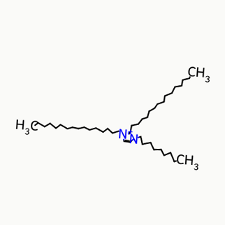 CCCCCCCCCCCCCCCC[n+]1ccn(CCCCCCCCC)c1CCCCCCCCCCCCCCC